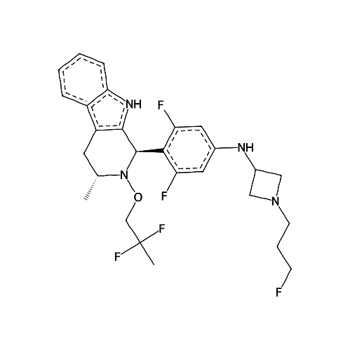 C[C@@H]1Cc2c([nH]c3ccccc23)[C@@H](c2c(F)cc(NC3CN(CCCF)C3)cc2F)N1OCC(C)(F)F